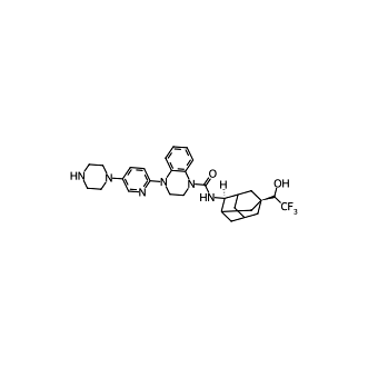 O=C(N[C@H]1C2CC3CC1C[C@@](C(O)C(F)(F)F)(C3)C2)N1CCN(c2ccc(N3CCNCC3)cn2)c2ccccc21